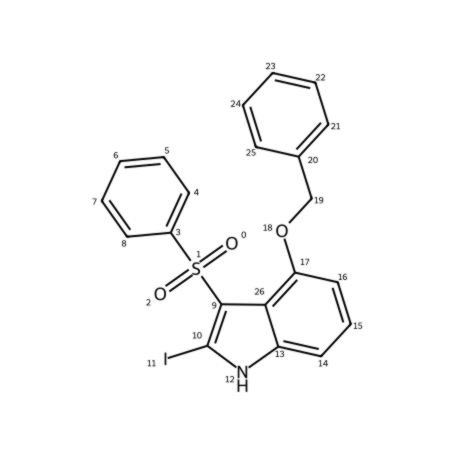 O=S(=O)(c1ccccc1)c1c(I)[nH]c2cccc(OCc3ccccc3)c12